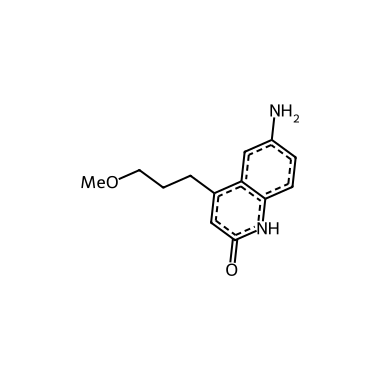 COCCCc1cc(=O)[nH]c2ccc(N)cc12